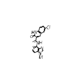 CCn1cnc2c(N[C@@H](C)c3cc4cc(Cl)ccc4[nH]c3=O)nccc21